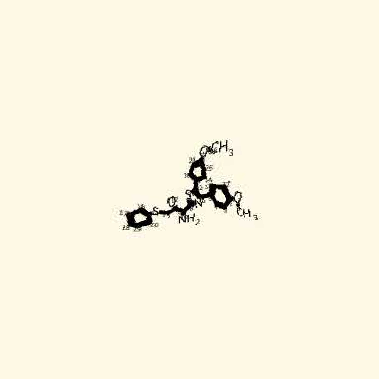 COc1ccc(-c2nc(C(N)C(=O)CSc3ccccc3)sc2-c2ccc(OC)cc2)cc1